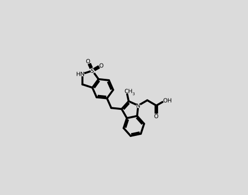 Cc1c(Cc2ccc3c(c2)CNS3(=O)=O)c2ccccc2n1CC(=O)O